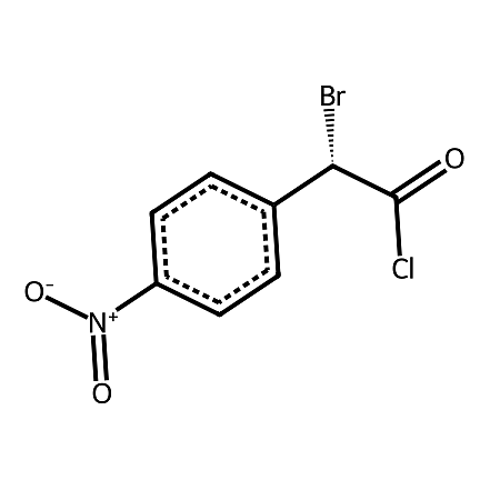 O=C(Cl)[C@@H](Br)c1ccc([N+](=O)[O-])cc1